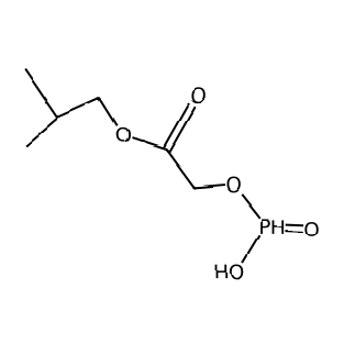 CC(C)COC(=O)CO[PH](=O)O